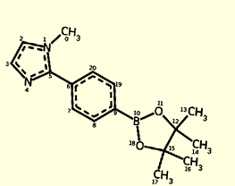 Cn1ccnc1-c1ccc(B2OC(C)(C)C(C)(C)O2)cc1